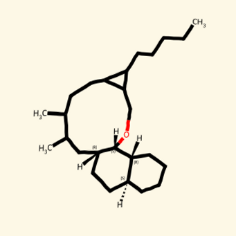 CCCCCC1C2CCC(C)C(C)C[C@H]3CC[C@@H]4CCCC[C@H]4[C@H]3OCC12